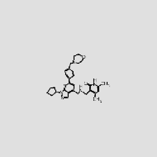 Cc1cc(C)c(CNCc2cc(-c3ccc(CN4CCOCC4)cc3)nc3c2cnn3C2CCCC2)c(=O)[nH]1